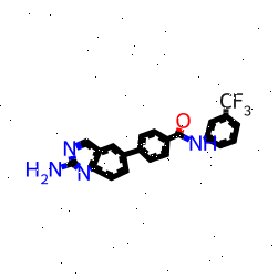 Nc1ncc2cc(-c3ccc(C(=O)Nc4cccc(C(F)(F)F)c4)cc3)ccc2n1